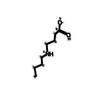 CCCCNCCCC([O])=O